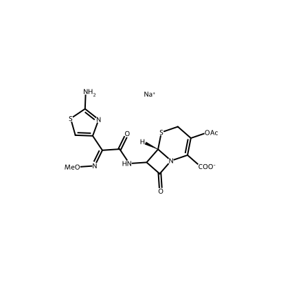 CON=C(C(=O)NC1C(=O)N2C(C(=O)[O-])=C(OC(C)=O)CS[C@@H]12)c1csc(N)n1.[Na+]